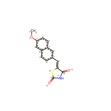 COc1ccc2cc(/C=C3\SC(=O)NC3=O)ccc2c1